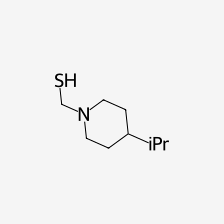 CC(C)C1CCN(CS)CC1